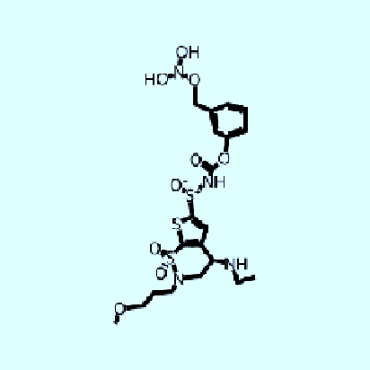 CCN[C@H]1CN(CCCOC)S(=O)(=O)c2sc([S+]([O-])NC(=O)Oc3cccc(CON(O)O)c3)cc21